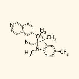 CN1c2ccc(C(F)(F)F)cc2C(C)(C)C12C=Nc1c(ccc3cnccc13)O2